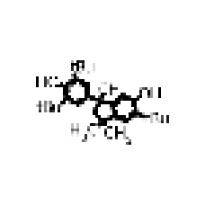 CC(C)(C)c1cc2c(cc1O)C(C)(c1cc(C(C)(C)C)c(O)c(C(C)(C)C)c1)CC2(C)C